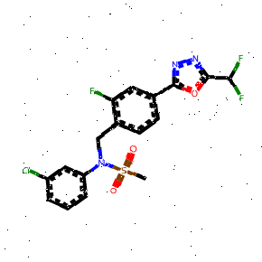 CS(=O)(=O)N(Cc1ccc(-c2nnc(C(F)F)o2)cc1F)c1cccc(Cl)c1